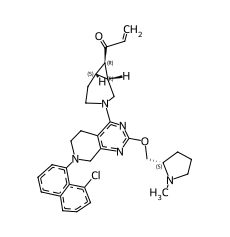 C=CC(=O)[C@H]1[C@@H]2CN(c3nc(OC[C@@H]4CCCN4C)nc4c3CCN(c3cccc5cccc(Cl)c35)C4)CC[C@@H]21